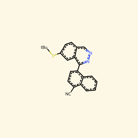 CC(C)(C)Sc1ccc2cnnc(-c3ccc(C#N)c4ccccc34)c2c1